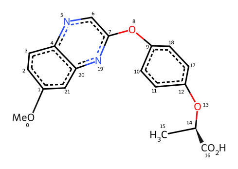 COc1ccc2ncc(Oc3ccc(O[C@H](C)C(=O)O)cc3)nc2c1